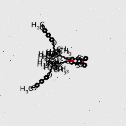 CCOc1ccc(-c2ccc(-c3ccc(OCCCCCC[Si](C)(O[Si](C)(C)C)O[Si](C)(CCCCCCOc4ccc(-c5csc6c5-c5c(-c7ccc(OCCCCCC[Si](C)(O[Si](C)(C)C)O[Si](C)(CCCCCCOc8ccc(-c9ccc(-c%10ccc(OCC)cc%10)cc9)cc8)O[Si](C)(C)C)cc7)csc5C5(Sc7ccccc7S5)C65Sc6ccccc6S5)cc4)O[Si](C)(C)C)cc3)cc2)cc1